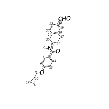 CN(C(=O)c1ccc(OCC2CC2)cc1)[C@H]1CCc2cc(C=O)ccc2C1